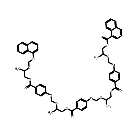 CC(COC(=O)c1ccc(OCOC(C)COC(=O)c2ccc(OCOC(C)COC(=O)c3cccc4ccccc34)cc2)cc1)OCOc1ccc(C(=O)OCC(C)OCOc2cccc3ccccc23)cc1